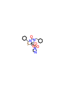 O=C1N(Cc2ccccc2)C(OS(=O)(=O)n2ccnc2)[C@@H]2CSC(c3ccccc3)N12